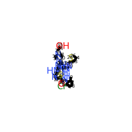 Cc1cccc(Cl)c1NC(=O)c1cnc(Nc2nc(N/N=C/C3=CCCS3)nc(N3CCN(CCO)CC3)n2)s1